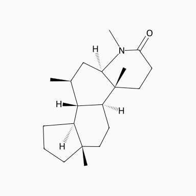 C[C@H]1C[C@H]2N(C)C(=O)CC[C@]2(C)[C@H]2CC[C@]3(C)CCC[C@H]3[C@H]12